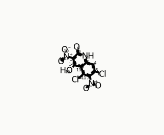 O=c1[nH]c2cc(Cl)c([N+](=O)[O-])c(Cl)c2c(O)c1[N+](=O)[O-]